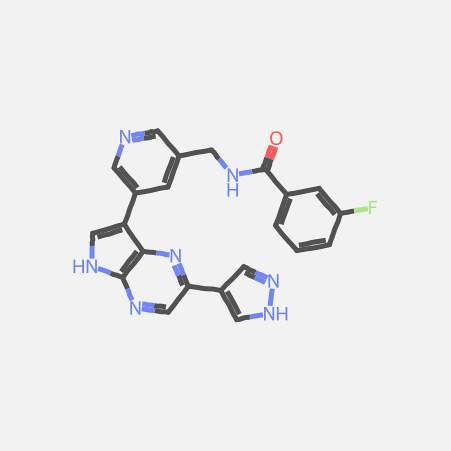 O=C(NCc1cncc(-c2c[nH]c3ncc(-c4cn[nH]c4)nc23)c1)c1cccc(F)c1